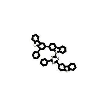 c1ccc(-c2nc(-c3ccc4sc5ccccc5c4c3)nc(-n3c4ccccc4c4ccc(-c5cc(-c6ccccc6)c6oc7ccccc7c6c5)cc43)n2)cc1